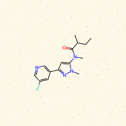 CCC(C)C(=O)N(C)c1cc(-c2cncc(F)c2)nn1C